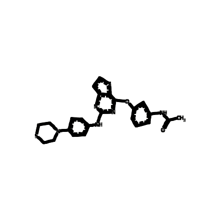 CC(=O)Nc1cccc(Oc2nc(Nc3ccc(N4CCSCC4)cc3)nc3ccsc23)c1